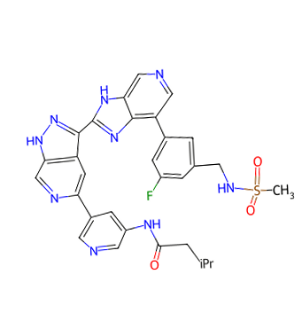 CC(C)CC(=O)Nc1cncc(-c2cc3c(-c4nc5c(-c6cc(F)cc(CNS(C)(=O)=O)c6)cncc5[nH]4)n[nH]c3cn2)c1